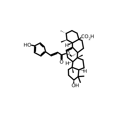 C[C@H]1[C@H](C)CC[C@]2(C(=O)O)CC[C@]3(COC(=O)C=Cc4ccc(O)cc4)C(=CC[C@@H]4[C@@]5(C)CC[C@H](O)C(C)(C)[C@@H]5CC[C@]43C)[C@H]12